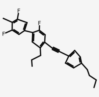 CCCCc1ccc(C#Cc2cc(F)c(-c3cc(F)c(C)c(F)c3)cc2CCC)cc1